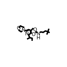 CCC(C)c1nc(N2CCOCC2)cc(C)c1OC(=O)NCCCC(C)(C)C